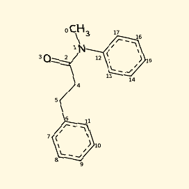 CN(C(=O)CCc1ccccc1)c1ccccc1